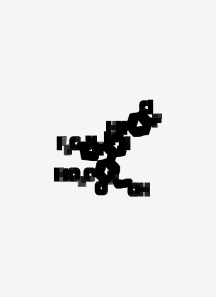 CCOC(=O)c1cc(-c2cnc(Nc3ccc(F)c(Cl)c3)nc2-n2ccc(C(F)(F)F)n2)cn(CCO)c1=O